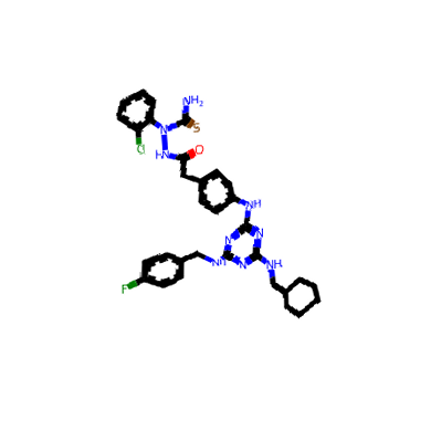 NC(=S)N(NC(=O)Cc1ccc(Nc2nc(NCc3ccc(F)cc3)nc(NCC3CCCCC3)n2)cc1)c1ccccc1Cl